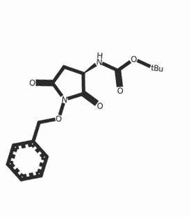 CC(C)(C)OC(=O)N[C@@H]1CC(=O)N(OCc2ccccc2)C1=O